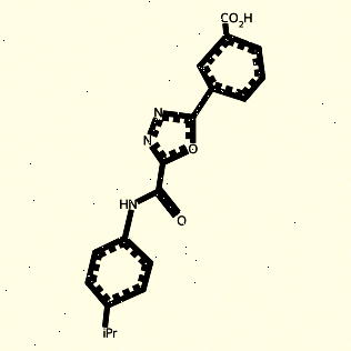 CC(C)c1ccc(NC(=O)c2nnc(-c3cccc(C(=O)O)c3)o2)cc1